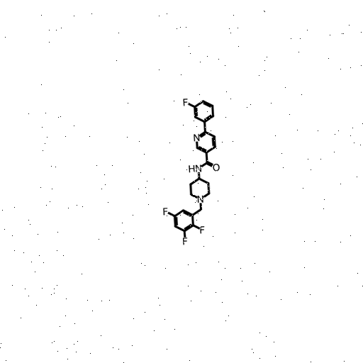 O=C(NC1CCN(Cc2cc(F)cc(F)c2F)CC1)c1ccc(-c2cccc(F)c2)nc1